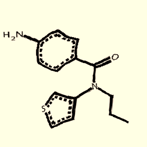 CCCN(C(=O)c1ccc(N)cc1)c1ccsc1